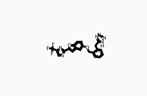 FC(F)(F)c1csc(-c2cc3cc(OCc4ccccc4Cc4nnn[nH]4)ccc3o2)n1